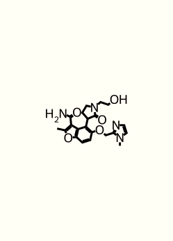 Cc1oc2ccc(OCc3nccn3C)c(C3CCN(CCO)C3=O)c2c1C(N)=O